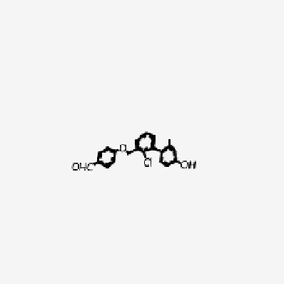 Cc1cc(O)ccc1-c1cccc(COc2ccc(C=O)cc2)c1Cl